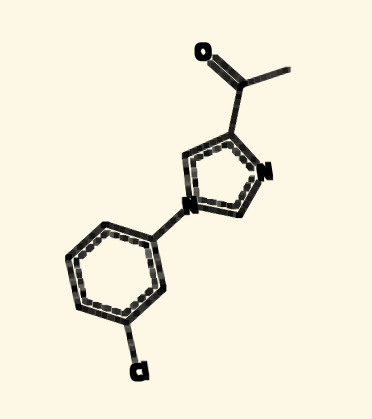 CC(=O)c1cn(-c2cccc(Cl)c2)cn1